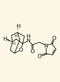 O=C(CN1C(=O)C=CC1=O)NC12C[C@@H]3CC(C[C@@H](C3)C1)O2